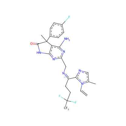 C=Cn1c(C)cnc1/C(CCC(F)(F)C(F)(F)F)=N\Cc1nc(N)c2c(n1)NC(=O)C2(C)c1ccc(F)cc1